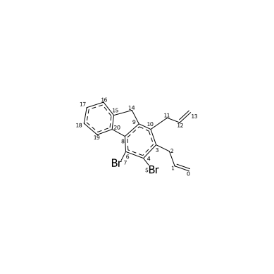 C=CCc1c(Br)c(Br)c2c(c1CC=C)Cc1ccccc1-2